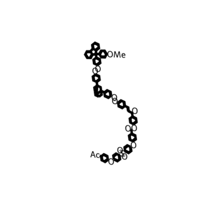 COc1ccc(C2(c3ccc(OOc4ccc(C56CC7CC(CC(c8ccc(OOc9ccc(C=CC(=O)c%10ccc(OC(=O)c%11ccc(Oc%12ccc(S(=O)(=O)c%13ccc(Oc%14ccc(C(C)=O)cc%14)cc%13)cc%12)cc%11)cc%10)cc9)cc8)(C7)C5)C6)cc4)cc3)c3ccccc3-c3ccccc32)cc1